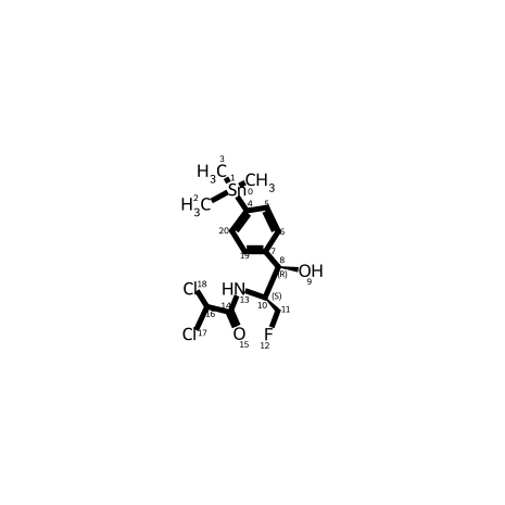 [CH3][Sn]([CH3])([CH3])[c]1ccc([C@@H](O)[C@@H](CF)NC(=O)C(Cl)Cl)cc1